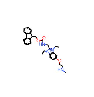 CCn1c(CNC(=O)OCC2c3ccccc3-c3ccccc32)[n+](CC)c2ccc(OCCNC)cc21